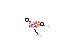 NCCCC[C@H](NC(=O)OCc1ccccc1)C(=O)OP(=O)(O)Oc1ccc([N+](=O)[O-])cc1